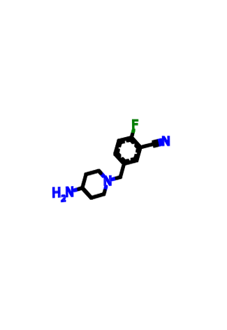 N#Cc1cc(CN2CCC(N)CC2)ccc1F